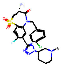 CC(=O)N1CCCC(n2nnc(-c3cc4c(cc3F)S(=O)(=O)C[C@H](N)C(=O)N4Cc3ccc(Cl)cc3)n2)C1